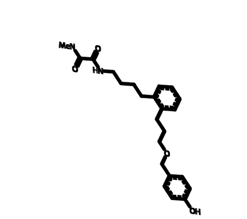 CNC(=O)C(=O)NCCCCc1ccccc1CCCOCc1ccc(O)cc1